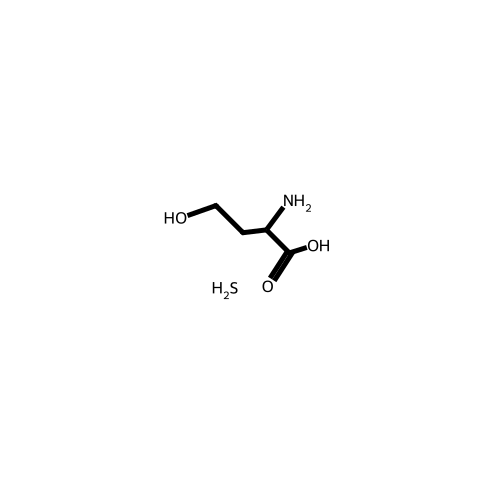 NC(CCO)C(=O)O.S